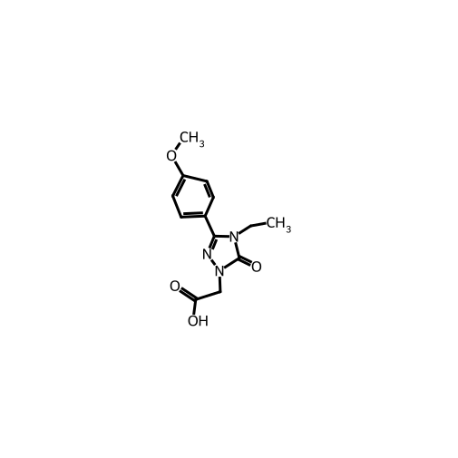 CCn1c(-c2ccc(OC)cc2)nn(CC(=O)O)c1=O